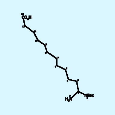 CCCCCCC(N)CCCCCCCCCCC(=O)O